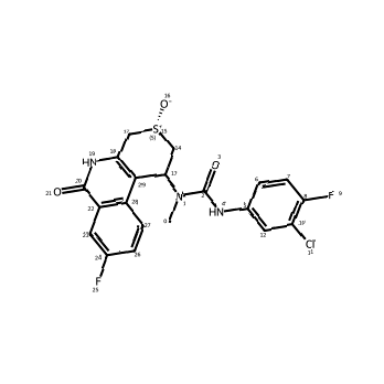 CN(C(=O)Nc1ccc(F)c(Cl)c1)C1C[S@@+]([O-])Cc2[nH]c(=O)c3cc(F)ccc3c21